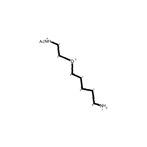 CC(=O)NCCOCCCCCN